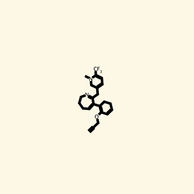 C#CCOC1=C(C2=CCCCN=C2CC2=CC=C(C(F)(F)F)N(C)C2)CCC=C1